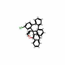 Brc1ccc2c(c1)C1(c3ccccc3Oc3c1ccc1ccccc31)c1ccccc1-c1ccccc1-2